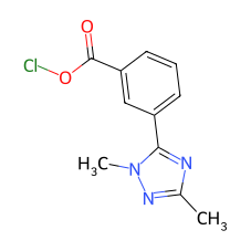 Cc1nc(-c2cccc(C(=O)OCl)c2)n(C)n1